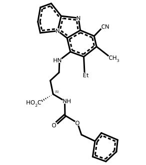 CCc1c(C)c(C#N)c2nc3ccccn3c2c1NCC[C@H](NC(=O)OCc1ccccc1)C(=O)O